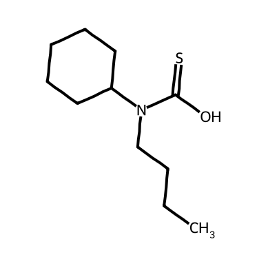 CCCCN(C(O)=S)C1CCCCC1